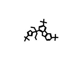 CCCC(CC)(C1=CC(C(C)(C)C)=CC1)c1cc(C(C)(C)C)cc2c1Cc1ccc(C(C)(C)C)cc1-2